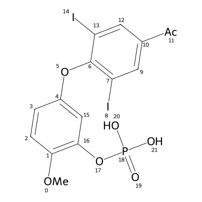 COc1ccc(Oc2c(I)cc(C(C)=O)cc2I)cc1OP(=O)(O)O